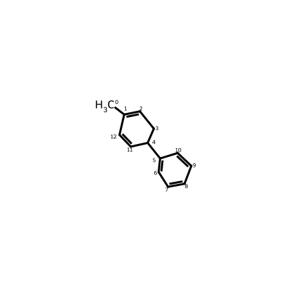 CC1=CCC(c2ccccc2)C=C1